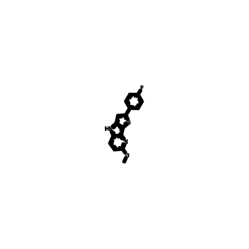 COc1ccc2[nH]c3cc(-c4ccc(F)cc4)sc3c2n1